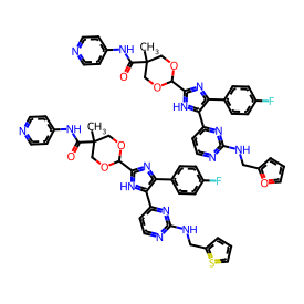 CC1(C(=O)Nc2ccncc2)COC(c2nc(-c3ccc(F)cc3)c(-c3ccnc(NCc4ccco4)n3)[nH]2)OC1.CC1(C(=O)Nc2ccncc2)COC(c2nc(-c3ccc(F)cc3)c(-c3ccnc(NCc4cccs4)n3)[nH]2)OC1